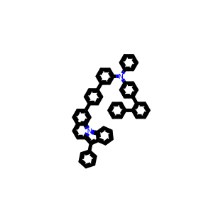 c1ccc(-c2ccccc2-c2ccc(N(c3ccccc3)c3cccc(-c4ccc(-c5ccc6ccc7c(-c8ccccc8)c8ccccc8n7c6c5)cc4)c3)cc2)cc1